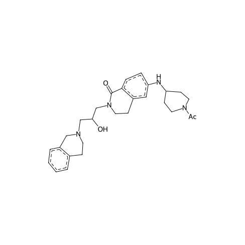 CC(=O)N1CCC(Nc2ccc3c(c2)CCN(CC(O)CN2CCc4ccccc4C2)C3=O)CC1